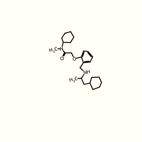 CC(CC1CCCCC1)NCc1ccccc1OCC(=O)N(C)C1CCCCC1